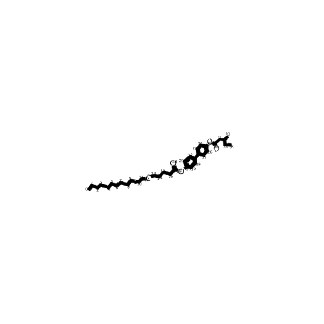 CCCCCCCCCCCCCCCCCC(=O)Oc1ccc(-c2ccc(OC(=O)CC(C)CC)cc2)cc1